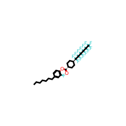 CCCCCCCc1ccc(OC(=O)[C@H]2CC[C@H](C(F)(F)C(F)(F)C(F)(F)C(F)(F)C(F)(F)C(F)(F)F)CC2)c(F)c1